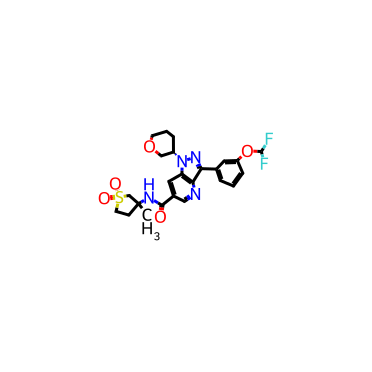 CC1(NC(=O)c2cnc3c(-c4cccc(OC(F)F)c4)nn([C@H]4CCCOC4)c3c2)CCS(=O)(=O)C1